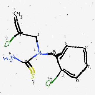 C=C(Cl)CN(C(N)=S)c1ccccc1Cl